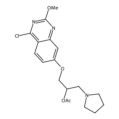 COc1nc(Cl)c2ccc(OCC(CN3CCCC3)OC(C)=O)cc2n1